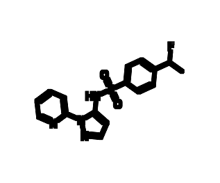 CC(F)c1ccc(S(=O)(=O)Nc2ccnn2-c2ccccn2)cc1